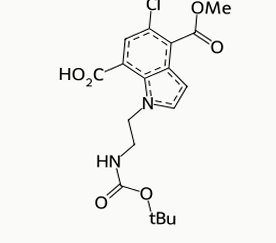 COC(=O)c1c(Cl)cc(C(=O)O)c2c1ccn2CCNC(=O)OC(C)(C)C